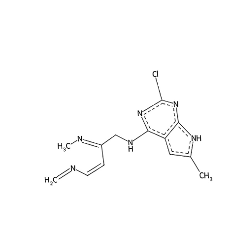 C=N/C=C\C(CNc1nc(Cl)nc2[nH]c(C)cc12)=N/C